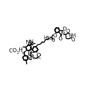 Cc1ccc([C@H](CC(=O)O)c2ccc3c(nnn3C)c2C)cc1CN1C[C@@H](C)Oc2cc(CCCCCCNC(=O)COc3cccc4c3C(=O)N(C3CCC(=O)NC3=O)C4=O)ccc2S1(=O)=O